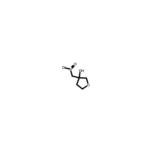 O=[N+]([O-])CC1(O)CCOC1